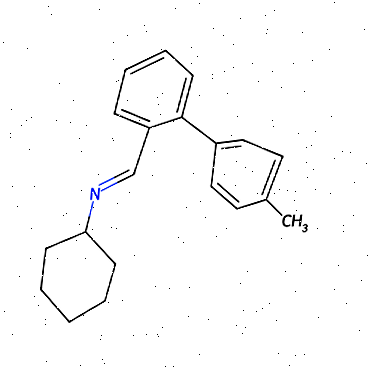 Cc1ccc(-c2ccccc2C=NC2CCCCC2)cc1